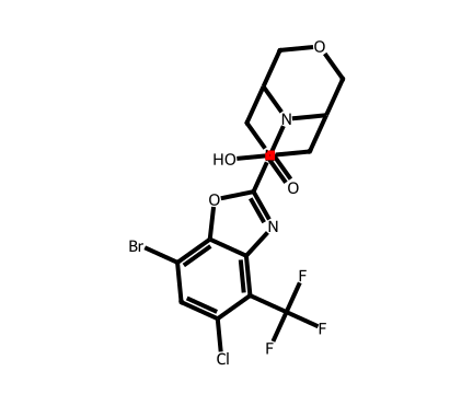 O=C(O)N1C2COCC1CN(c1nc3c(C(F)(F)F)c(Cl)cc(Br)c3o1)C2